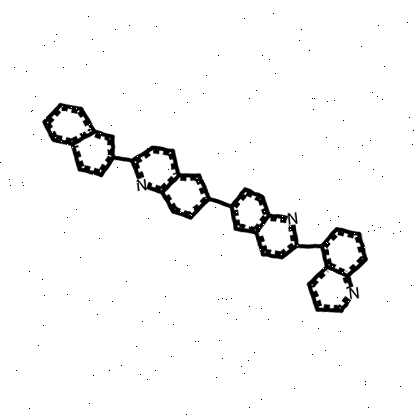 c1ccc2cc(-c3ccc4cc(-c5ccc6nc(-c7cccc8ncccc78)ccc6c5)ccc4n3)ccc2c1